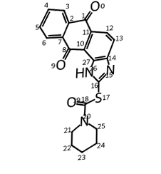 O=C1c2ccccc2C(=O)c2c1ccc1nc(SC(=O)N3CCCCC3)[nH]c21